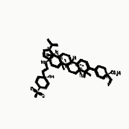 C=C(C)[C@@H]1CC[C@]2(NCC[C@]3(O)CC[C@@H](S(C)(=O)=O)CC3)CC[C@]3(C)[C@H](CC[C@@H]4[C@@]5(C)CC=C(C6=CC[C@@](CF)(C(=O)O)CC6)C(C)(C)[C@@H]5CC[C@]43C)[C@@H]12